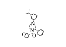 CC(C)c1[c]ccc(N2CCN(C(=O)c3ccoc3)C(c3ccccc3)C2)c1